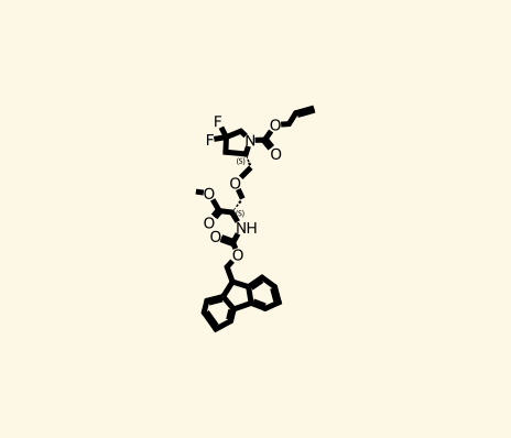 C=CCOC(=O)N1CC(F)(F)C[C@H]1COC[C@H](NC(=O)OCC1c2ccccc2-c2ccccc21)C(=O)OC